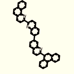 c1ccc2c(c1)cc(-c1ccc3ccc(-c4ccc5ccc(-c6ccc7ccc8ccccc8c7n6)nc5c4)cc3n1)c1ccccc12